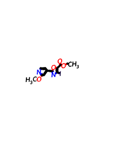 CCOC(=O)c1oc(-c2ccnc(OC)c2)nc1I